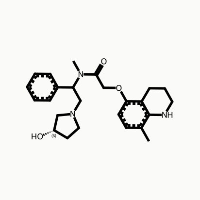 Cc1ccc(OCC(=O)N(C)C(CN2CC[C@H](O)C2)c2ccccc2)c2c1NCCC2